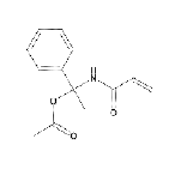 C=CC(=O)NC(C)(OC(C)=O)c1ccccc1